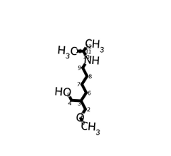 COCC(CO)CCCCNC(C)C